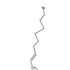 CC=CCCCCCCBr